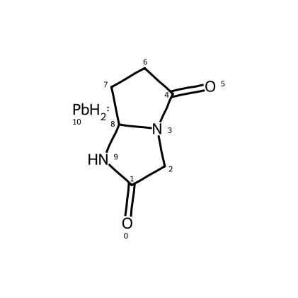 O=C1CN2C(=O)CCC2N1.[PbH2]